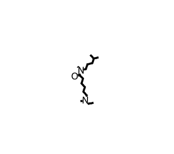 CCN(C)CCCCCC(=O)N(C)CCCC(C)C